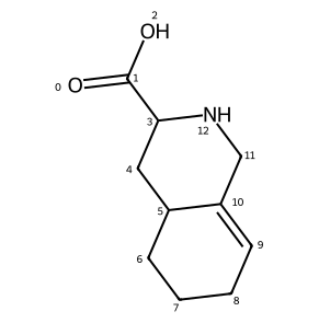 O=C(O)C1CC2CCCC=C2CN1